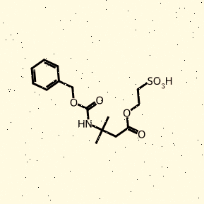 CC(C)(CC(=O)OCCS(=O)(=O)O)NC(=O)OCc1ccccc1